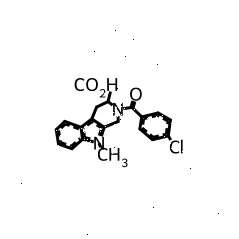 Cn1c2c(c3ccccc31)CC(C(=O)O)N(C(=O)c1ccc(Cl)cc1)C2